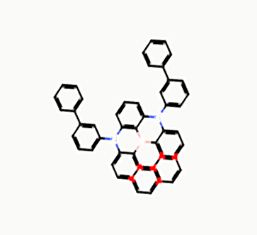 c1ccc(-c2cccc(N3c4cccc(-c5ccccc5)c4B4c5c(-c6ccccc6)cccc5N(c5cccc(-c6ccccc6)c5)c5cccc3c54)c2)cc1